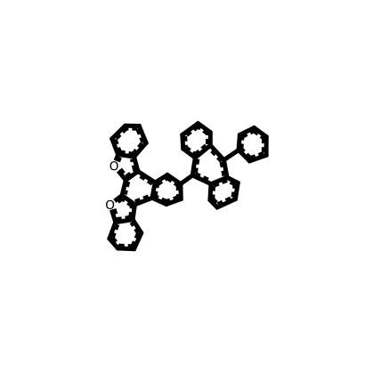 c1ccc(-c2c3ccccc3c(-c3ccc4c(c3)c3c5ccccc5oc3c3oc5ccccc5c43)c3ccccc23)cc1